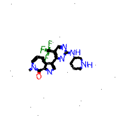 Cn1cccc2c(-c3nc(N[C@H]4CCCNC4)ncc3C(F)(F)F)cnc-2c1=O